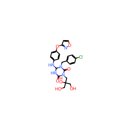 O=C1NC(Nc2ccc(Oc3ccon3)cc2)N(Cc2ccc(Cl)cc2)C(=O)N1CC(O)(CO)CO